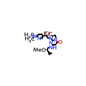 CO[C@H](CNc1cc(=O)n2c(n1)N(CC(=O)c1ccc(N(C)C)nc1)[C@H](C(F)(F)F)CC2)C1CC1